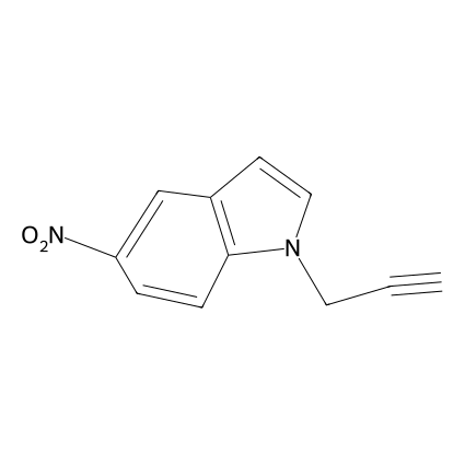 C#CCn1ccc2cc([N+](=O)[O-])ccc21